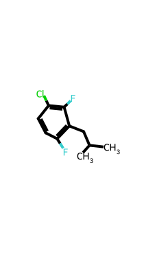 CC(C)Cc1c(F)ccc(Cl)c1F